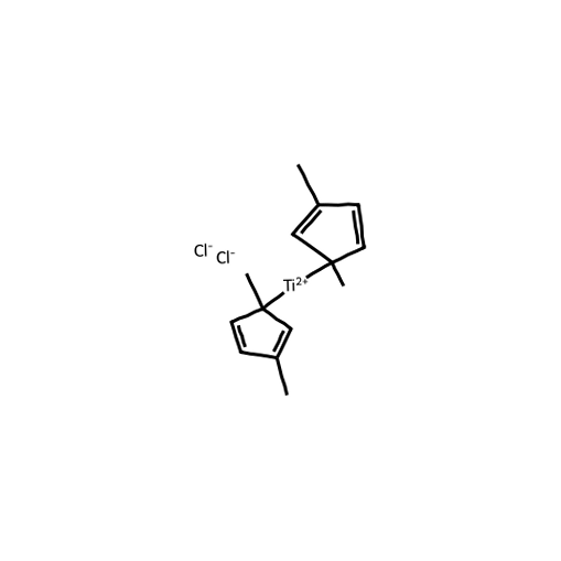 CC1=C[C](C)([Ti+2][C]2(C)C=CC(C)=C2)C=C1.[Cl-].[Cl-]